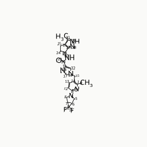 Cc1nc(N2CC3C(C2)C3(F)F)ccc1Cn1cnc(C(=O)N[C@@H]2CCc3c2n[nH]c3C)c1